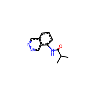 CC(C)C(=O)Nc1cccc2cnncc12